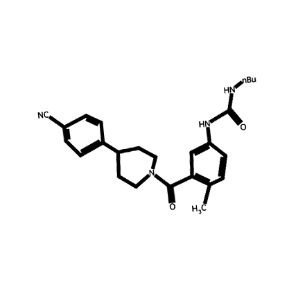 CCCCNC(=O)Nc1ccc(C)c(C(=O)N2CCC(c3ccc(C#N)cc3)CC2)c1